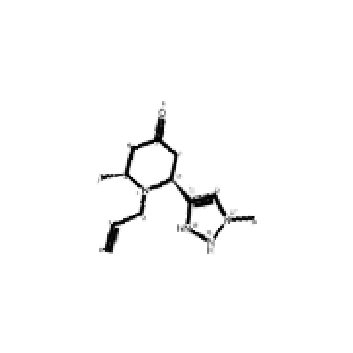 C=CCN1[C@@H](C)CC(=O)C[C@H]1C1=CN(C)NN1